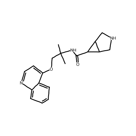 CC(C)(COc1ccnc2ccccc12)NC(=O)C1C2CNCC21